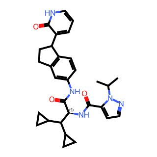 CC(C)n1nccc1C(=O)N[C@H](C(=O)Nc1ccc2c(c1)CCC2c1ccc[nH]c1=O)C(C1CC1)C1CC1